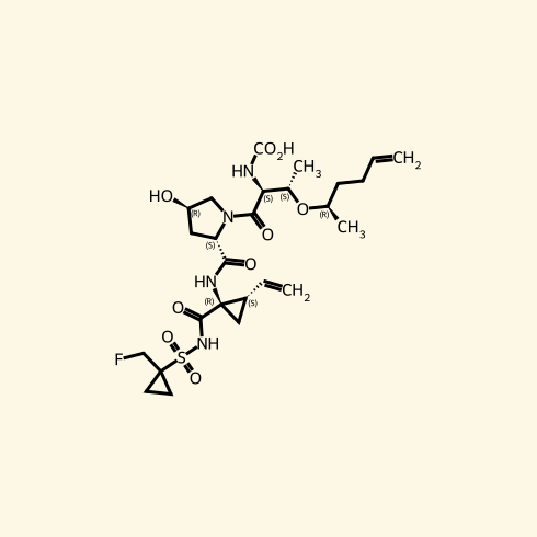 C=CCC[C@@H](C)O[C@@H](C)[C@H](NC(=O)O)C(=O)N1C[C@H](O)C[C@H]1C(=O)N[C@]1(C(=O)NS(=O)(=O)C2(CF)CC2)C[C@H]1C=C